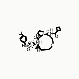 O=C(N[C@H]1CCCCC/C=C\[C@@H]2C[C@@]2(C(=O)NS(=O)(=O)Nc2ccc(Cl)cc2)NC(=O)[C@@H]2CCCN2C1=O)C1CCC1